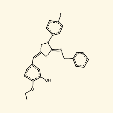 CCOc1ccc(/C=C2/CN(c3ccc(F)cc3)/C(=N/Cc3ccccc3)S2)cc1O